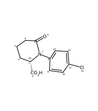 O=C(O)[C@@H]1CCCC(=O)N1c1ccc(Cl)cc1